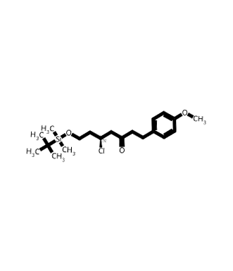 COc1ccc(CCC(=O)C[C@@H](Cl)CCO[Si](C)(C)C(C)(C)C)cc1